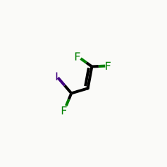 FC(F)=CC(F)I